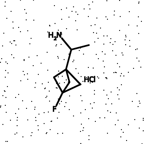 CC(N)C12CC(F)(C1)C2.Cl